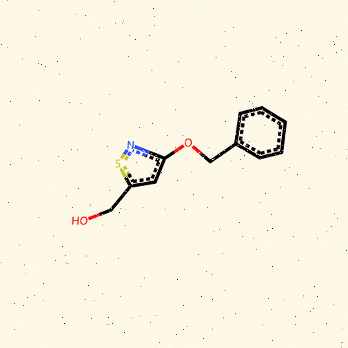 OCc1cc(OCc2ccccc2)ns1